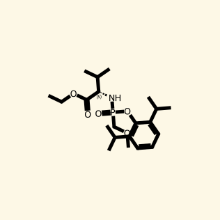 CCOC(=O)[C@@H](NP(=O)(COC)Oc1c(C(C)C)cccc1C(C)C)C(C)C